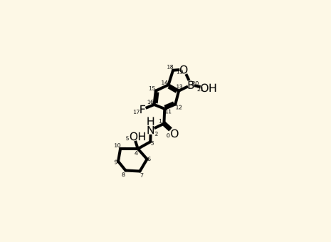 O=C(NCC1(O)CCCCC1)c1cc2c(cc1F)COB2O